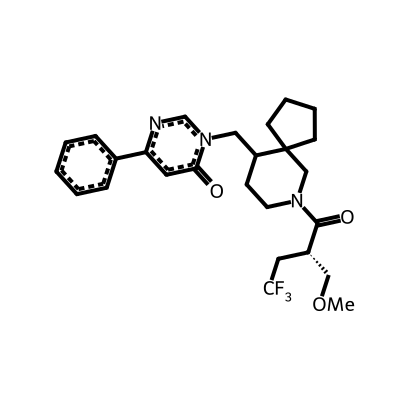 COC[C@H](CC(F)(F)F)C(=O)N1CCC(Cn2cnc(-c3ccccc3)cc2=O)C2(CCCC2)C1